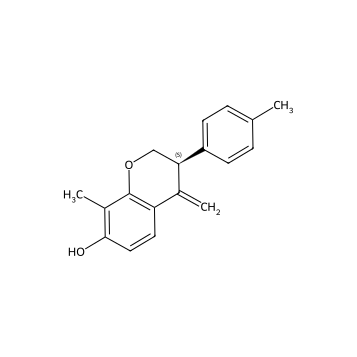 C=C1c2ccc(O)c(C)c2OC[C@H]1c1ccc(C)cc1